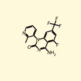 Cc1ncccc1-n1c(=O)nc(N)c2c(F)cc(C(F)(F)F)cc21